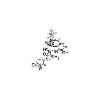 C/C(C(=O)Nc1ccc(Cl)c(Cl)c1)=C(/O)[C@@H]1Oc2c(O)ccc3c2[C@@]12CCN(CC1CC1)[C@H](C3)[C@@]2(C)O